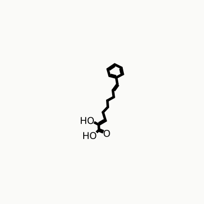 O=C(O)C(O)=CCCCCC=Cc1ccccc1